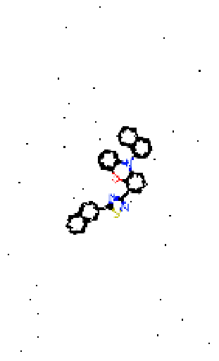 c1ccc2c(c1)Oc1c(-c3nsc(-c4ccc5ccccc5c4)n3)cccc1N2c1cccc2ccccc12